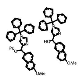 COc1ccc2cc(C(O)c3cn(C(c4ccccc4)(c4ccccc4)c4ccccc4)cn3)ccc2c1.COc1ccc2cc(C(OC(C)C)c3cn(C(c4ccccc4)(c4ccccc4)c4ccccc4)cn3)ccc2c1